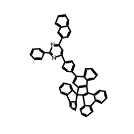 c1ccc(-c2nc(-c3ccc(-c4cc5c(c6ccccc46)-c4c(c6ccccc6c6ccccc46)C54c5ccccc5-c5ccccc54)cc3)cc(-c3ccc4ccccc4c3)n2)cc1